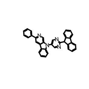 c1ccc(-c2cc3c4ccccc4n(-c4cnc(C5c6ccccc6-c6ccccc65)nc4)c3cn2)cc1